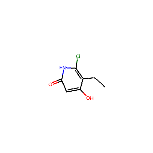 CCc1c(O)cc(=O)[nH]c1Cl